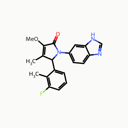 COC1=C(C)C(c2cccc(F)c2C)N(c2ccc3nc[nH]c3c2)C1=O